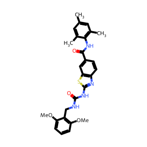 COc1cccc(OC)c1CNC(=O)Nc1nc2ccc(C(=O)Nc3c(C)cc(C)cc3C)cc2s1